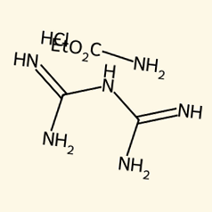 CCOC(N)=O.Cl.N=C(N)NC(=N)N